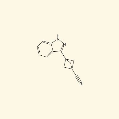 N#CC12CC(c3n[nH]c4ccccc34)(C1)C2